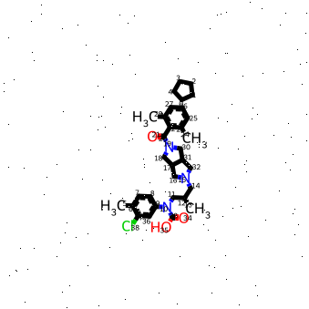 C1CCCC1.Cc1ccc(N(CC(C)CN2CC3CN(C(=O)c4c(C)cccc4C)CC3C2)C(=O)O)cc1Cl